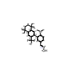 CN(C)c1ccc(/C=N/O)cc1-c1cc2c(cc1C(F)(F)F)C(C)(C)CCC2(C)C